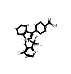 O=C(O)C1CCC(c2cn(Cc3c(Cl)ccnc3C(F)(F)F)c3c2CCCC3)CC1